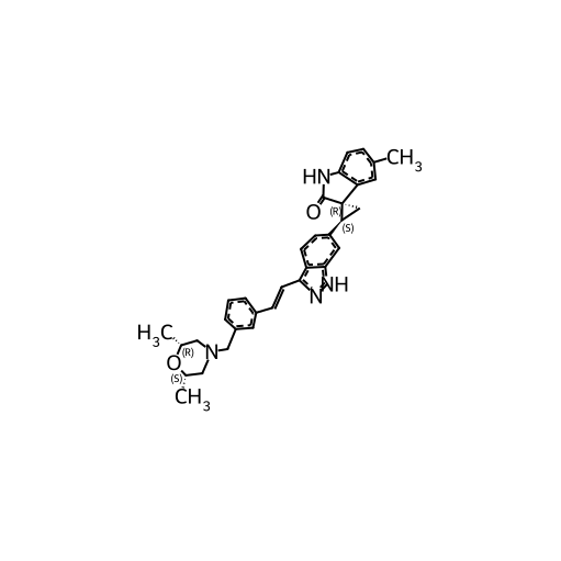 Cc1ccc2c(c1)[C@]1(C[C@H]1c1ccc3c(C=Cc4cccc(CN5C[C@@H](C)O[C@@H](C)C5)c4)n[nH]c3c1)C(=O)N2